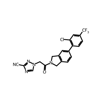 N#Cc1ncn(CC(=O)N2Cc3ccc(-c4ccc(C(F)(F)F)cc4Cl)cc3C2)n1